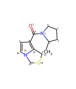 CC1CCCN1C(=O)c1ccn2c1CSC2